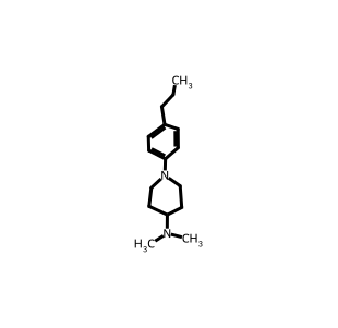 CCCc1ccc(N2CCC(N(C)C)CC2)cc1